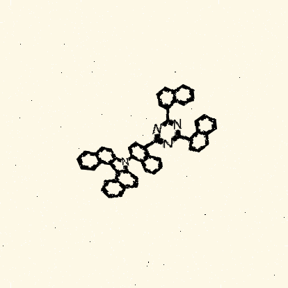 c1ccc2c(-c3nc(-c4cccc5ccccc45)nc(-c4ccc(-n5c6ccc7ccccc7c6c6c7ccccc7ccc65)c5ccccc45)n3)cccc2c1